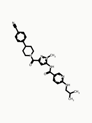 CC(C)CNc1ccc(C(=O)Nc2cc(C(=O)N3CCC(c4ccc(C#N)cc4)CC3)nn2C)cn1